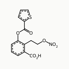 O=C(Oc1cccc(C(=O)O)c1CCO[N+](=O)[O-])c1cccs1